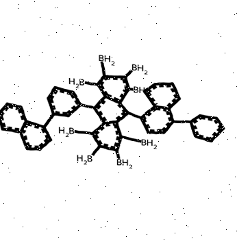 Bc1c(B)c(B)c2c(-c3ccc(-c4ccccc4)c4ccccc34)c3c(B)c(B)c(B)c(B)c3c(-c3cccc(-c4cccc5ccccc45)c3)c2c1B